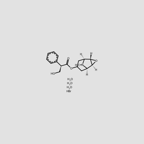 Br.CN1[C@@H]2CC(OC(=O)[C@@H](CO)c3ccccc3)C[C@H]1[C@@H]1O[C@H]12.O.O.O